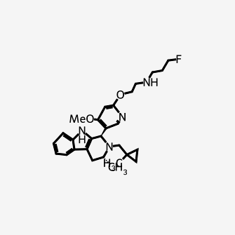 COc1cc(OCCNCCCF)ncc1[C@@H]1c2[nH]c3ccccc3c2C[C@@H](C)N1CC1(C)CC1